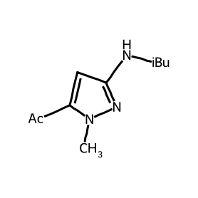 CCC(C)Nc1cc(C(C)=O)n(C)n1